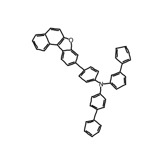 c1ccc(-c2ccc(N(c3ccc(-c4ccc5c(c4)oc4ccc6ccccc6c45)cc3)c3cccc(-c4ccccc4)c3)cc2)cc1